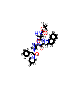 CC1CCN(C(=O)C(c2ccccc2)n2cnc(NC(=O)[C@@H](Cc3ccc4ccccc4c3)NC(=O)C(C)(C)NC(=O)OC(C)(C)C)c2)CC1